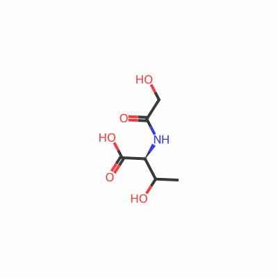 CC(O)[C@H](NC(=O)CO)C(=O)O